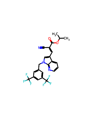 CC(C)OC(=O)/C(C#N)=C/c1cn(Cc2cc(C(F)(F)F)cc(C(F)(F)F)c2)c2ncccc12